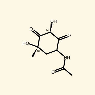 CC(=O)NC1C[C@](C)(O)C(=O)[C@@H](O)C1=O